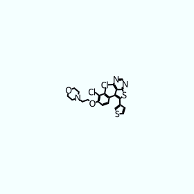 Cc1c(-c2c(-c3ccsc3)sc3ncnc(Cl)c23)ccc(OCCN2CCOCC2)c1Cl